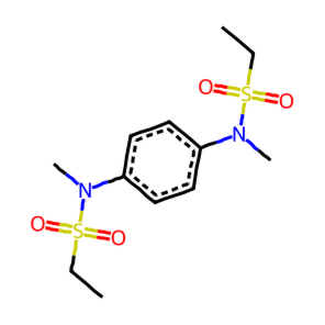 CCS(=O)(=O)N(C)c1ccc(N(C)S(=O)(=O)CC)cc1